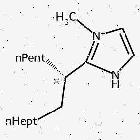 CCCCCCCC[C@H](CCCCC)c1[nH]cc[n+]1C